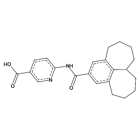 O=C(O)c1ccc(NC(=O)c2cc3c4c(c2)CCCCC4CCCC3)nc1